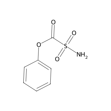 NS(=O)(=O)C(=O)Oc1ccccc1